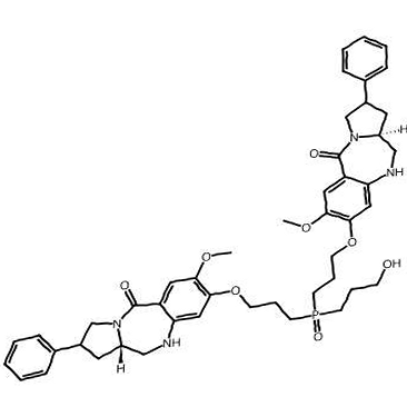 COc1cc2c(cc1OCCCP(=O)(CCCO)CCCOc1cc3c(cc1OC)C(=O)N1CC(c4ccccc4)C[C@H]1CN3)NC[C@@H]1CC(c3ccccc3)CN1C2=O